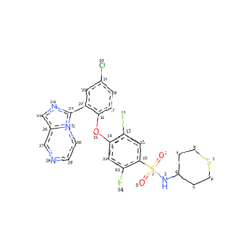 O=S(=O)(NC1CCSCC1)c1cc(F)c(Oc2ccc(Cl)cc2-c2ncc3cnccn23)cc1F